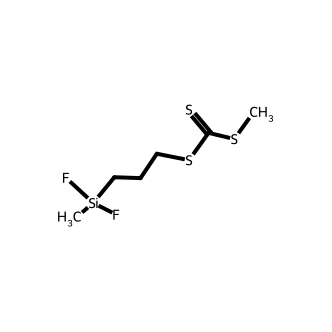 CSC(=S)SCCC[Si](C)(F)F